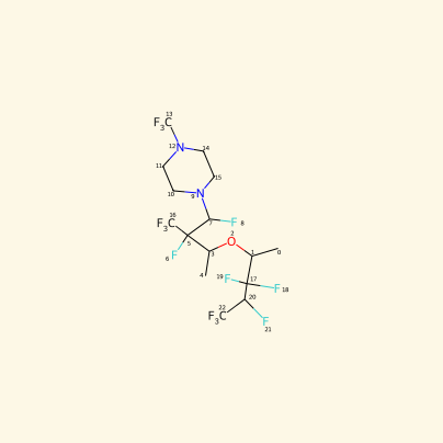 CC(OC(C)C(F)(C(F)N1CCN(C(F)(F)F)CC1)C(F)(F)F)C(F)(F)C(F)C(F)(F)F